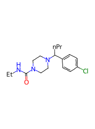 CCCC(c1ccc(Cl)cc1)N1CCN(C(=O)NCC)CC1